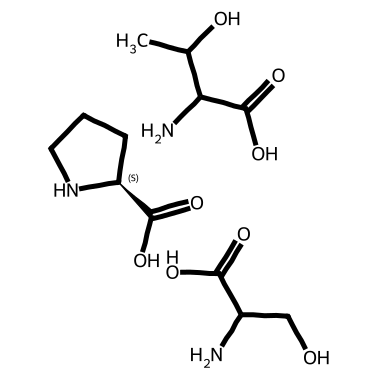 CC(O)C(N)C(=O)O.NC(CO)C(=O)O.O=C(O)[C@@H]1CCCN1